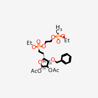 CCOP(C)(=O)OCCOP(=O)(CC[C@H]1O[C@@H](OC(C)=O)C(OC(C)=O)[C@H]1OCc1ccccc1)OCC